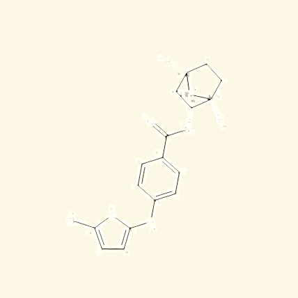 O=C(N[C@@H]1C[C@H]2CC[C@@H]1N2)c1ccc(Oc2ccc(Cl)s2)cc1